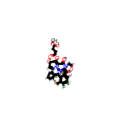 COC(=O)CCC(=O)Oc1c2n(ccc1=O)N([C@@H]1c3ccccc3SCc3c1ccc(F)c3F)[C@@H]1COCCN1C2=O